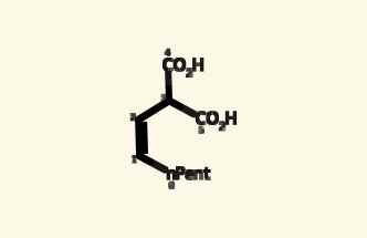 CCCCC/C=C\C(C(=O)O)C(=O)O